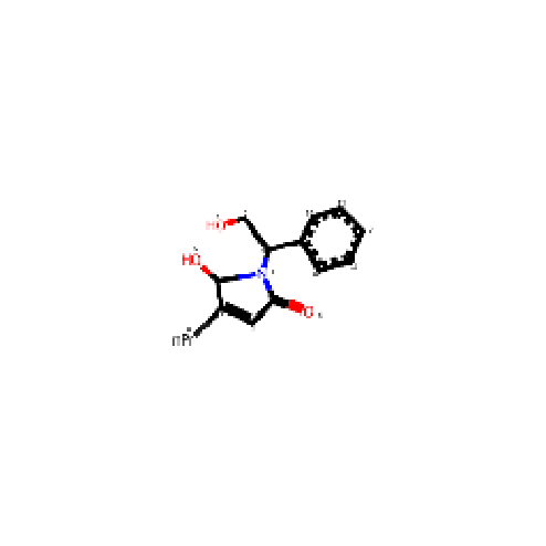 CCCC1=CC(=O)N(C(CO)c2ccccc2)C1O